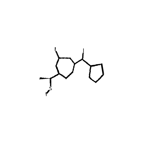 C[C@H](SI)C1CCC(C(I)C2CCCC2)CC(I)C1